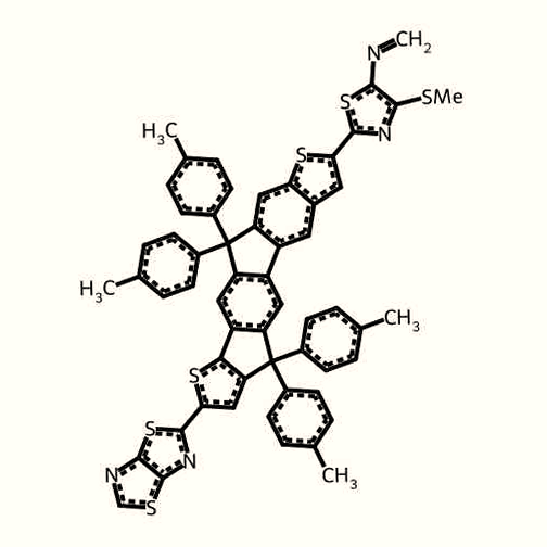 C=Nc1sc(-c2cc3cc4c(cc3s2)C(c2ccc(C)cc2)(c2ccc(C)cc2)c2cc3c(cc2-4)C(c2ccc(C)cc2)(c2ccc(C)cc2)c2cc(-c4nc5scnc5s4)sc2-3)nc1SC